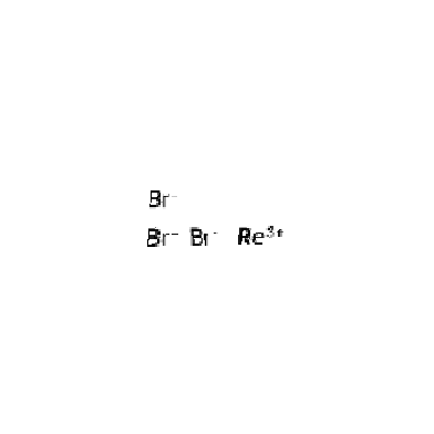 [Br-].[Br-].[Br-].[Re+3]